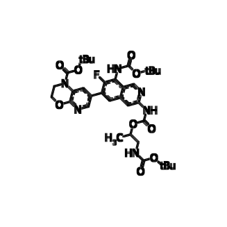 CC(CNC(=O)OC(C)(C)C)OC(=O)Nc1cc2cc(-c3cnc4c(c3)N(C(=O)OC(C)(C)C)CCO4)c(F)c(NC(=O)OC(C)(C)C)c2cn1